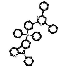 c1ccc(-c2nc(-c3ccccc3)nc(-c3cccc([Si](c4ccccc4)(c4ccccc4)c4ccc5c(c4)c4cccnc4n5-c4ccccc4)c3)n2)cc1